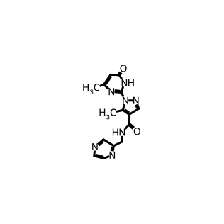 Cc1cc(=O)[nH]c(-n2ncc(C(=O)NCc3cnccn3)c2C)n1